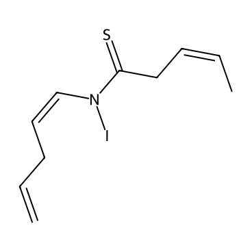 C=CC/C=C\N(I)C(=S)C/C=C\C